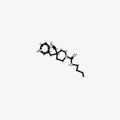 CCCCOC(=O)N1CCC(C#N)(Cc2cccnc2)CC1